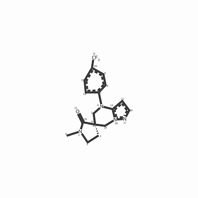 CN1CC[C@@]2(CN(c3ccc(C(F)(F)F)cc3)c3ccnn3C2)C1=O